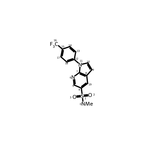 CNS(=O)(=O)c1cnc2c(ccn2-c2ccc(C(F)(F)F)cc2)c1